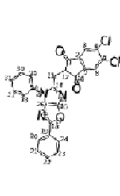 O=C1c2cc(Cl)c(Cl)cc2C(=O)C1Cc1nc2oc(-c3ccccc3)nc2n1-c1ccccc1